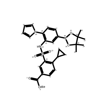 COC(=O)c1ccc(C2CC2)c(S(=O)(=O)Nc2cc(B3OC(C)(C)C(C)(C)O3)ccc2-n2cccc2)c1